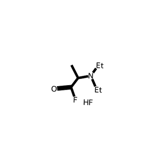 CCN(CC)C(C)C(=O)F.F